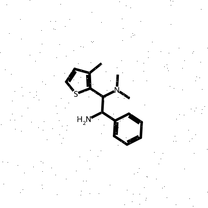 Cc1ccsc1C(C(N)c1ccccc1)N(C)C